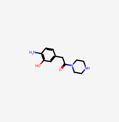 Nc1ccc(CC(=O)N2CCNCC2)cc1O